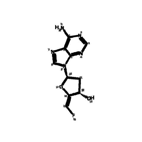 Nc1ncnc2c1ncn2[C@H]1C[C@H](O)/C(=C\F)O1